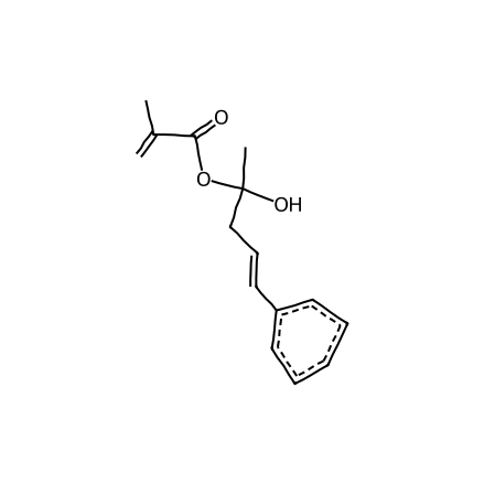 C=C(C)C(=O)OC(C)(O)CC=Cc1ccccc1